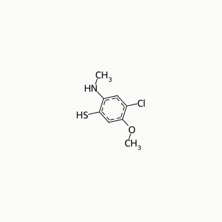 CNc1cc(Cl)c(OC)cc1S